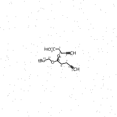 C#CCCC(=O)O.C#CCCC(=O)OCC(C)(C)C